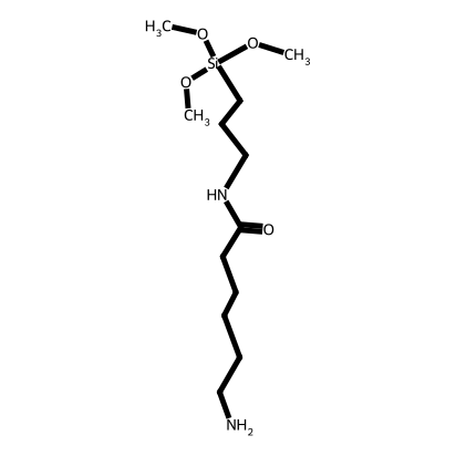 CO[Si](CCCNC(=O)CCCCCN)(OC)OC